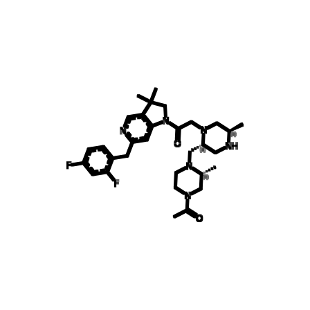 CC(=O)N1CCN(C[C@H]2CN[C@H](C)CN2CC(=O)N2CC(C)(C)c3cnc(Cc4ccc(F)cc4F)cc32)[C@H](C)C1